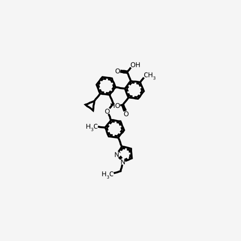 CCn1ccc(-c2ccc(OCc3c(-c4c(C(=O)O)ccc(C)c4C(=O)O)cccc3C3CC3)c(C)c2)n1